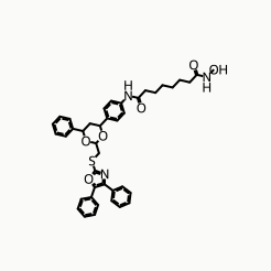 O=C(CCCCCCC(=O)Nc1ccc(C2CC(c3ccccc3)OC(CSc3nc(-c4ccccc4)c(-c4ccccc4)o3)O2)cc1)NO